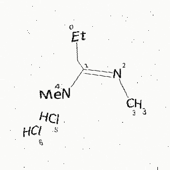 CCC(=NC)NC.Cl.Cl